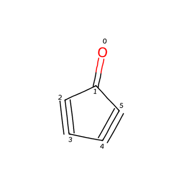 O=C1C#CC#C1